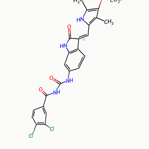 Cc1[nH]c(/C=C2\C(=O)Nc3cc(NC(=O)NC(=O)c4ccc(Cl)c(Cl)c4)ccc32)c(C)c1OC(=O)O